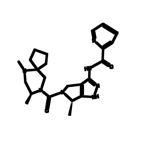 C[C@H]1CN(C)C2(CCCC2)CN1C(=O)N1Cc2c(NC(=O)c3ccccn3)n[nH]c2[C@@H]1C